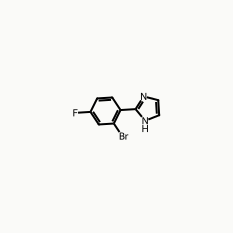 Fc1ccc(-c2ncc[nH]2)c(Br)c1